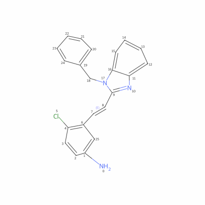 Nc1ccc(Cl)c(/C=C/c2nc3ccccc3n2Cc2ccccc2)c1